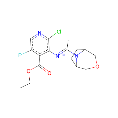 CCOC(=O)c1c(F)cnc(Cl)c1/N=C(\C)N1C2CCC1COC2